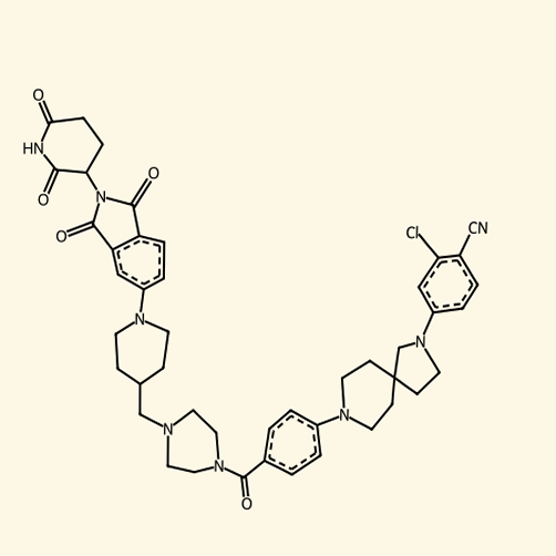 N#Cc1ccc(N2CCC3(CCN(c4ccc(C(=O)N5CCN(CC6CCN(c7ccc8c(c7)C(=O)N(C7CCC(=O)NC7=O)C8=O)CC6)CC5)cc4)CC3)C2)cc1Cl